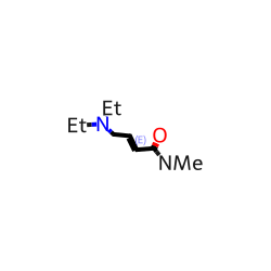 CCN(CC)C/C=C/C(=O)NC